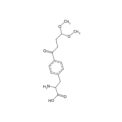 COC(CCC(=O)c1ccc(CC(N)C(=O)O)cc1)OC